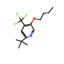 CCCCOc1cnc(C(C)(C)C)cc1C(F)(F)F